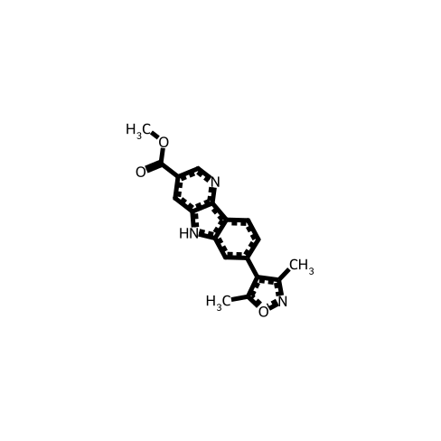 COC(=O)c1cnc2c(c1)[nH]c1cc(-c3c(C)noc3C)ccc12